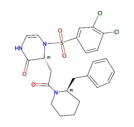 O=C1NC=CN(S(=O)(=O)c2ccc(Cl)c(Cl)c2)[C@@H]1CC(=O)N1CCCC[C@@H]1Cc1ccccc1